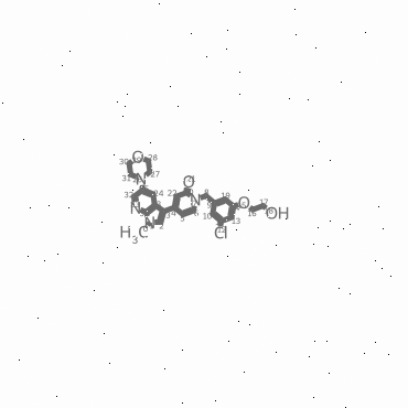 Cn1cc(-c2ccn(Cc3cc(Cl)cc(OCCO)c3)c(=O)c2)c2cc(N3CCOCC3)cnc21